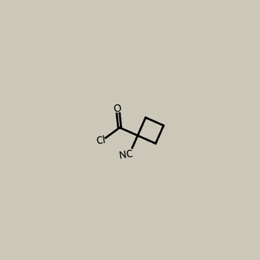 N#CC1(C(=O)Cl)CCC1